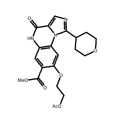 COC(=O)c1cc2[nH]c(=O)c3cnc(C4CCOCC4)n3c2cc1OCCOC(C)=O